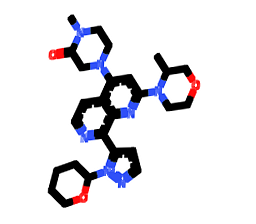 CC1COCCN1c1cc(N2CCN(C)C(=O)C2)c2ccnc(-c3ccnn3C3CCCCO3)c2n1